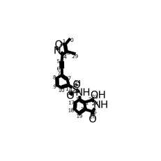 Cc1onc(C#Cc2cccc(S(=O)(=O)Nc3cccc4c3C(O)NC4=O)c2)c1C